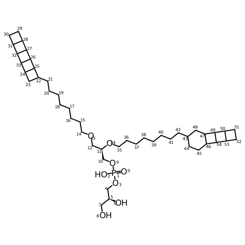 O=P(O)(OC[C@@H](O)CO)OC[C@@H](COCCCCCCCCC1CC2C1C1C3C4CCC4C3C21)OCCCCCCCCC1CCC2C(C1)C1C3CCC3C21